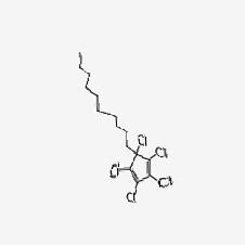 CCCCCCCCCCC1(Cl)C(Cl)=C(Cl)C(Cl)=C1Cl